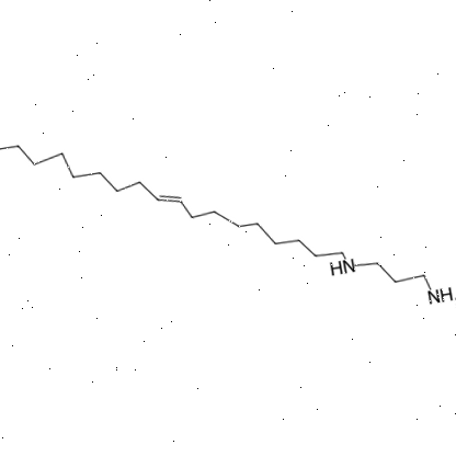 CCCCCCCCC=CCCCCCCCCNCCCN